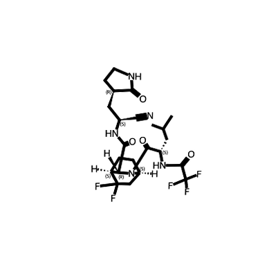 CC(C)C[C@H](NC(=O)C(F)(F)F)C(=O)N1[C@H]2CC[C@@H]([C@@H]1C(=O)N[C@H](C#N)C[C@H]1CCNC1=O)C(F)(F)C2